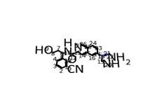 N#Cc1cccc(C(CCO)NC(=O)c2cc3cc(/C(C=N)=C/N)ccc3cn2)c1